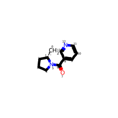 [CH2][C@H]1CCCN1C(=O)c1cccnc1